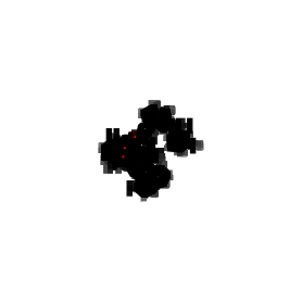 CC(C)[Si](C#Cc1c(F)ccc2cccc(-c3ncc4c(N5C[C@H]6CC[C@@H](C5)N6C(=O)OC(C)(C)C)nc(OC[C@@]56CCCN5C[C@H](Nc5cccc(I)c5)C6)nc4c3F)c12)(C(C)C)C(C)C